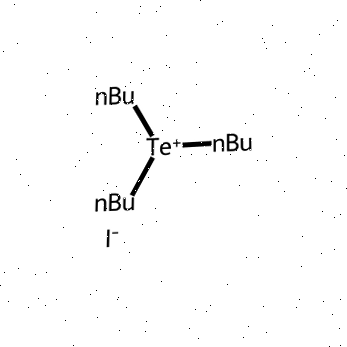 CCCC[Te+](CCCC)CCCC.[I-]